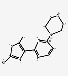 Cc1sc(Cl)nc1-c1nccc(N2CCOCC2)n1